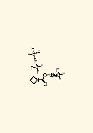 CC(C)(C)OC(=O)N1CCC1.F[B-](F)(F)F.F[B-](F)(F)F.F[B-](F)(F)F